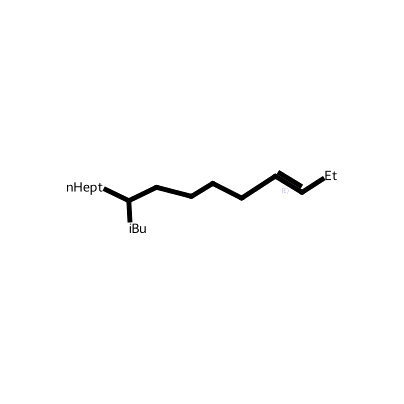 [CH2]C/C=C/CCCCC(CCCCCC[CH2])C(C)CC